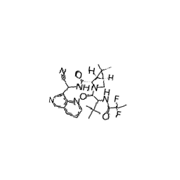 CC(F)(F)C(=O)NC(C(=O)N1C[C@H]2[C@@H]([C@H]1C(=O)NC(C#N)c1cncc3cccnc13)C2(C)C)C(C)(C)C